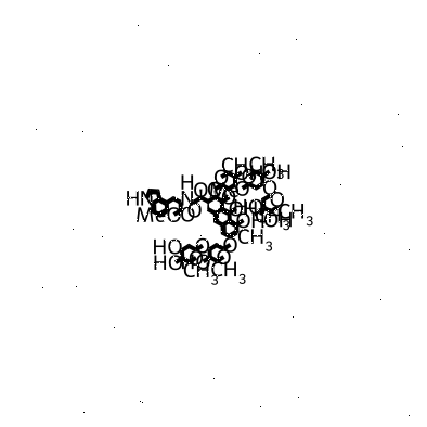 COC(=O)C(Cc1cccc2[nH]ccc12)NC(=O)[C@@H](OC)[C@@H]1Cc2cc3cc(OC4CC(OC5CC(O)C(O)C(C)O5)C(O)C(C)O4)c(C)c(O)c3c(O)c2C(=O)[C@H]1OC1CC(OC2CC(OC3CC(C)(O)C(O)C(C)O3)C(O)C(C)O2)C(O)C(C)O1